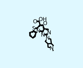 CN1CC2CN(c3ncc4c(=O)c(C(=O)O)c5sc6ccccc6n5c4n3)CC2C1